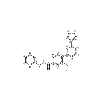 CNc1nc(NCCc2ccccc2)ncc1-c1cccc(-c2ccco2)n1